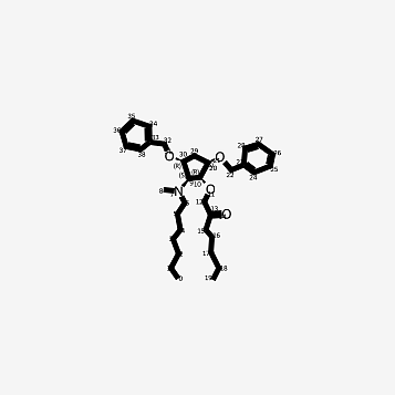 CCCCCCCN(C)[C@@H]1[C@@H](OCC(=O)CCCCC)[C@@H](OCc2ccccc2)C[C@H]1OCc1ccccc1